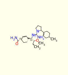 C=CC(OC)[C@@H](/N=C(\N)N1CCCC1C1=CCC(C)CC1)[C@H]1C=C[C@@H](C(N)=O)CC1